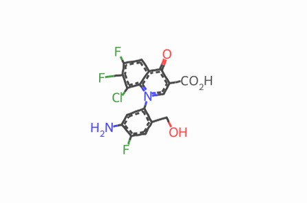 Nc1cc(-n2cc(C(=O)O)c(=O)c3cc(F)c(F)c(Cl)c32)c(CO)cc1F